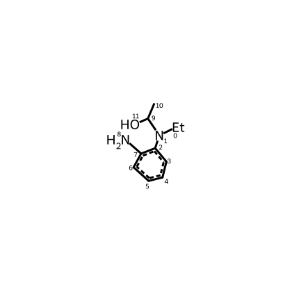 CCN(c1ccccc1N)C(C)O